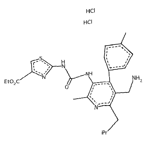 CCOC(=O)c1csc(NC(=O)Nc2c(C)nc(CC(C)C)c(CN)c2-c2ccc(C)cc2)n1.Cl.Cl